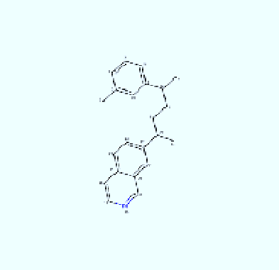 Cc1cccc(C(C)CCC(C)c2ccc3ccncc3c2)c1